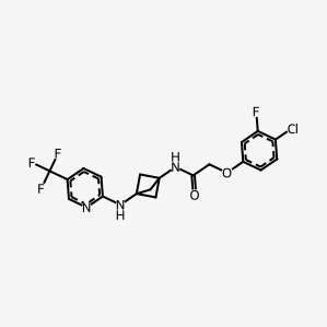 O=C(COc1ccc(Cl)c(F)c1)NC12CC(Nc3ccc(C(F)(F)F)cn3)(C1)C2